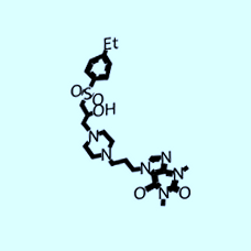 CCc1ccc(S(=O)(=O)CC(O)CN2CCN(CCCn3cnc4c3c(=O)n(C)c(=O)n4C)CC2)cc1